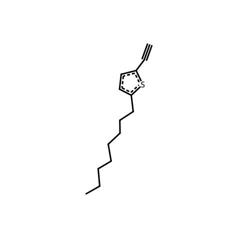 C#Cc1ccc(CCCCCCCC)s1